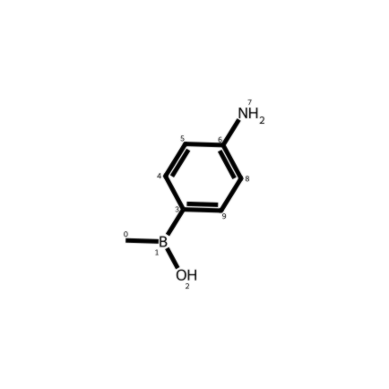 CB(O)c1ccc(N)cc1